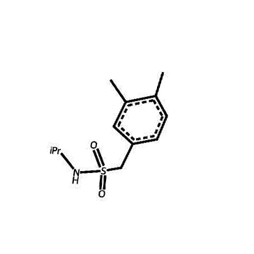 Cc1ccc(CS(=O)(=O)NC(C)C)cc1C